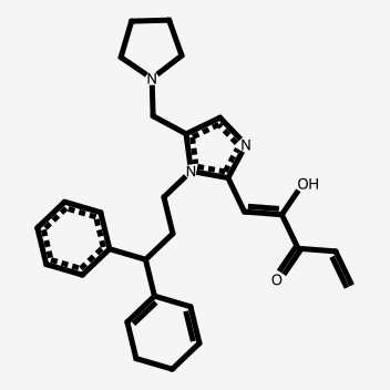 C=CC(=O)/C(O)=C/c1ncc(CN2CCCC2)n1CCC(C1=CCCC=C1)c1ccccc1